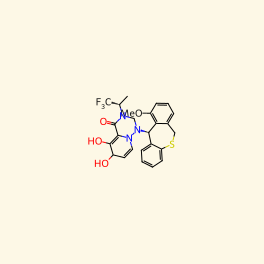 COc1cccc2c1[C@H](N1CN([C@H](C)C(F)(F)F)C(=O)C3=C(O)C(O)C=CN31)c1ccccc1SC2